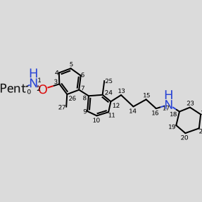 CCCCCNOc1cccc(-c2cccc(CCCCNC3CCCCC3)c2C)c1C